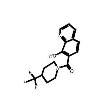 O=C(c1ccc2cccnc2c1O)N1CCC(C(F)(F)F)CC1